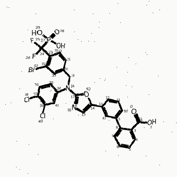 O=C(O)c1ccccc1-c1cccc(-c2cnc(N(Cc3ccc(C(F)(F)P(=O)(O)O)c(Br)c3)c3ccc(Cl)c(Cl)c3)o2)c1